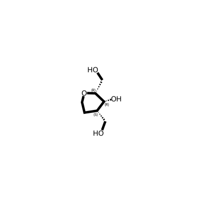 OC[C@@H]1CCO[C@H](CO)[C@@H]1O